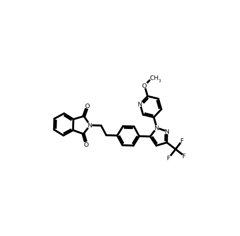 COc1ccc(-n2nc(C(F)(F)F)cc2-c2ccc(CCN3C(=O)c4ccccc4C3=O)cc2)cn1